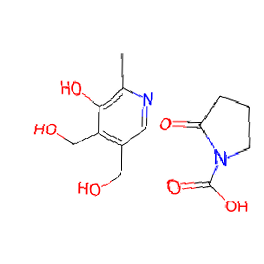 Cc1ncc(CO)c(CO)c1O.O=C(O)N1CCCC1=O